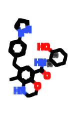 Cc1c(Cc2ccc(-n3cccn3)cc2)cc(C(=O)N[C@H]2CCCC[C@@H]2O)c2c1NCCO2